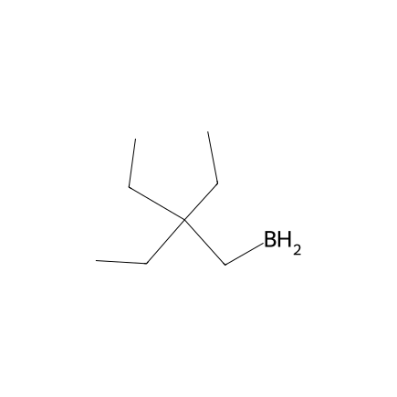 BCC(CC)(CC)CC